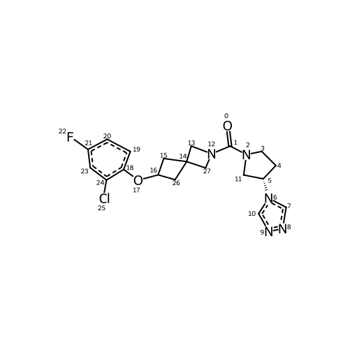 O=C(N1CC[C@H](n2cnnc2)C1)N1CC2(CC(Oc3ccc(F)cc3Cl)C2)C1